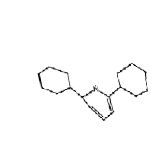 C1=CC(C2CCCCC2)[N]C(C2CCCCC2)=C1